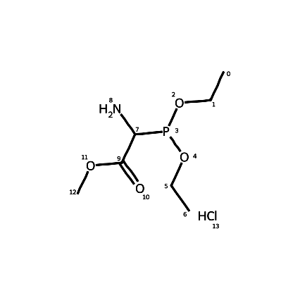 CCOP(OCC)C(N)C(=O)OC.Cl